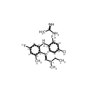 CC(=N)N.CCN(C)C=Nc1c(C)cc(F)cc1Nc1ccc(Cl)cc1F